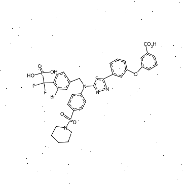 O=C(O)c1cccc(Oc2cccc(-c3nnc(N(Cc4ccc(C(F)(F)P(=O)(O)O)c(Br)c4)c4ccc(S(=O)(=O)N5CCCCC5)cc4)s3)c2)c1